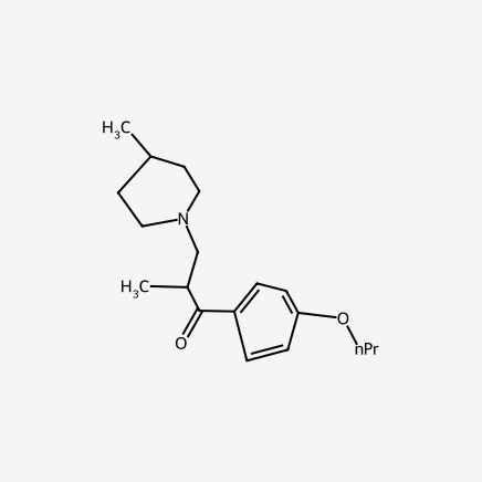 CCCOc1ccc(C(=O)C(C)CN2CCC(C)CC2)cc1